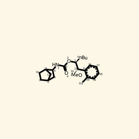 CCCC[C@H](OC(=O)NC1CC2CCC1C2)[C@@H](OC)c1ccccc1I